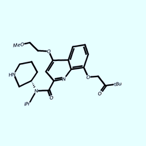 COCCOc1cc(C(=O)N(C(C)C)[C@H]2CCCNC2)nc2c(OCC(=O)C(C)(C)C)cccc12